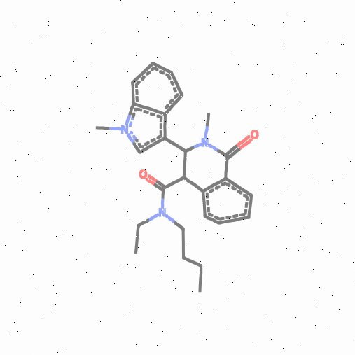 CCCCN(CC)C(=O)C1c2ccccc2C(=O)N(C)C1c1cn(C)c2ccccc12